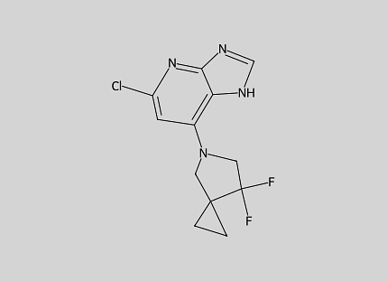 FC1(F)CN(c2cc(Cl)nc3nc[nH]c23)CC12CC2